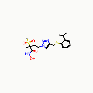 CC(C)c1ccccc1SCc1cn(CCC(C)(C(=O)NO)S(C)(=O)=O)nn1